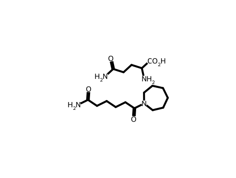 NC(=O)CCC(N)C(=O)O.NC(=O)CCCCC(=O)N1CCCCCC1